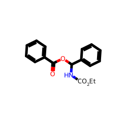 CCOC(=O)NC(OC(=O)c1ccccc1)c1ccccc1